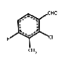 Cc1c(F)ccc(C=O)c1Cl